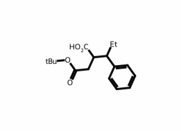 CCC(c1ccccc1)C(CC(=O)OC(C)(C)C)C(=O)O